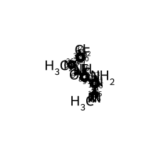 CN1C[C@@H](NC(=O)c2ccc(-c3cc(-c4cnn(C)c4)cnc3N)cc2F)[C@H](c2ccc(F)c(Cl)c2)C1